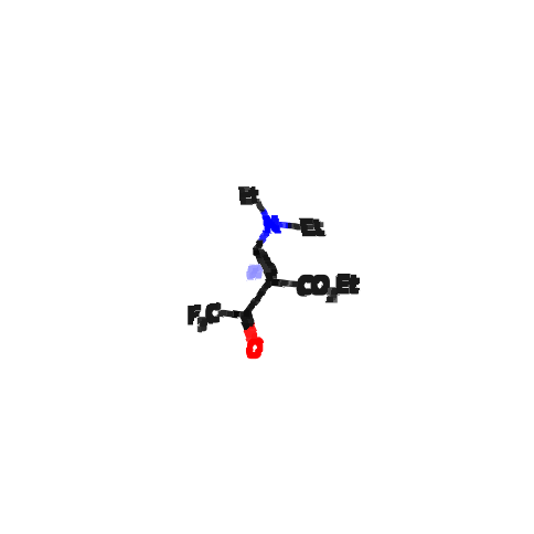 CCOC(=O)/C(=C\N(CC)CC)C(=O)C(F)(F)F